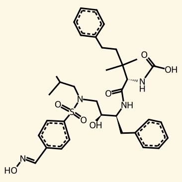 CC(C)CN(C[C@H](O)[C@H](Cc1ccccc1)NC(=O)[C@@H](NC(=O)O)C(C)(C)CCc1ccccc1)S(=O)(=O)c1ccc(C=NO)cc1